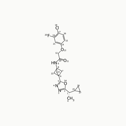 C[C@H](c1nnc(C23CC(NC(=O)COc4ccc(Cl)c(F)c4)(C2)C3)o1)C1CC1